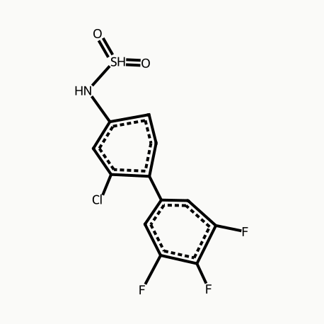 O=[SH](=O)Nc1ccc(-c2cc(F)c(F)c(F)c2)c(Cl)c1